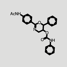 CC(=O)Nc1ccc(C2=NCC(OC(=O)Nc3ccccc3)C(c3ccccc3)O2)cc1